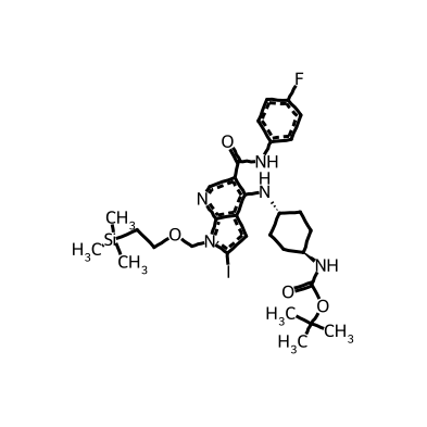 CC(C)(C)OC(=O)N[C@H]1CC[C@H](Nc2c(C(=O)Nc3ccc(F)cc3)cnc3c2cc(I)n3COCC[Si](C)(C)C)CC1